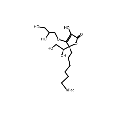 CCCCCCCCCCCCCCCC[C@]1([C@@H](O)CO)OC(=O)C(O)=C1OCC(O)CO